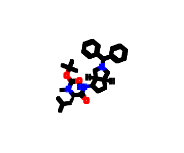 CC(C)C[C@@H](C(=O)N[C@@H]1CC[C@H]2CN(C(c3ccccc3)c3ccccc3)C[C@H]21)N(C)C(=O)OC(C)(C)C